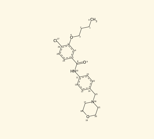 CCCCOc1cc(C(=O)Nc2ccc(CN3CCOCC3)cc2)ccc1Cl